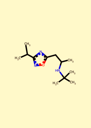 CC(Cc1nc(C(C)C)no1)NC(C)(C)C